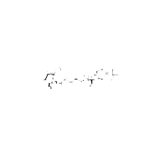 CC(C)(C)C1CCN(C(=O)NCCCCCN2C(=O)C=CC2=O)C1